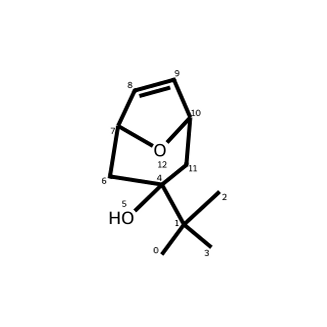 CC(C)(C)C1(O)CC2C=CC(C1)O2